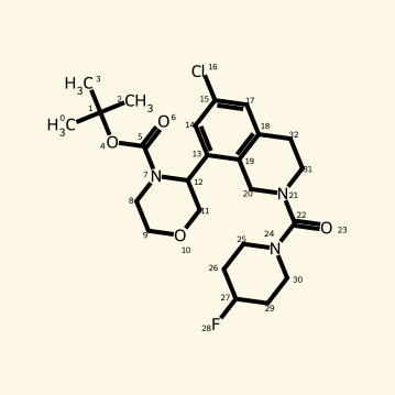 CC(C)(C)OC(=O)N1CCOCC1c1cc(Cl)cc2c1CN(C(=O)N1CCC(F)CC1)CC2